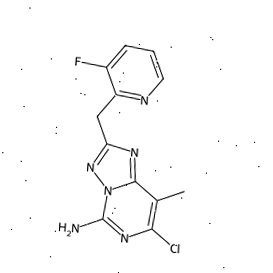 Cc1c(Cl)nc(N)n2nc(Cc3ncccc3F)nc12